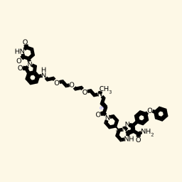 CN(C/C=C/C(=O)N1CCC([C@@H]2CCNc3c(C(N)=O)c(-c4ccc(Oc5ccccc5)cc4)nn32)CC1)CCOCCOCCOCCNc1cccc2c1CN(C1CCC(=O)NC1=O)C2=O